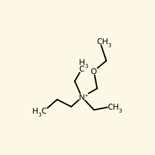 CCC[N+](CC)(CC)COCC